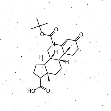 CC(C)(C)OC(=O)N1C[C@@H]2[C@@H](CC[C@]3(C)C(C(=O)O)CC[C@@H]23)[C@@]2(C)CCC(=O)C=C12